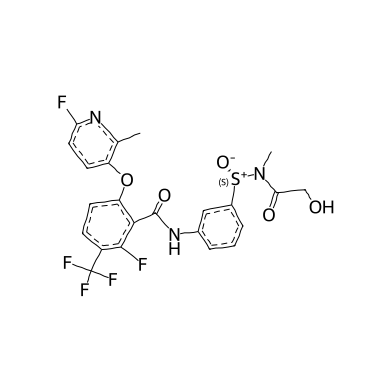 Cc1nc(F)ccc1Oc1ccc(C(F)(F)F)c(F)c1C(=O)Nc1cccc([S@@+]([O-])N(C)C(=O)CO)c1